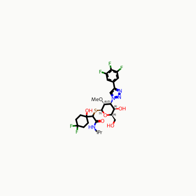 CO[C@@H]1[C@@H](n2cc(-c3cc(F)c(F)c(F)c3)nn2)[C@@H](O)[C@@H](CO)O[C@H]1SC(C(=O)NC(C)C)C1(O)CCC(F)(F)CC1